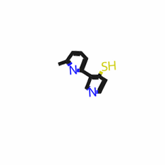 Cc1cccc(-c2cnccc2S)n1